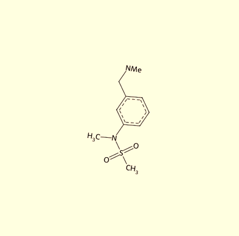 CNCc1cccc(N(C)S(C)(=O)=O)c1